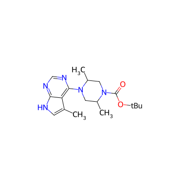 Cc1c[nH]c2ncnc(N3CC(C)N(C(=O)OC(C)(C)C)CC3C)c12